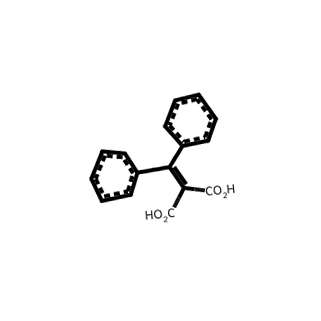 O=C(O)C(C(=O)O)=C(c1ccccc1)c1ccccc1